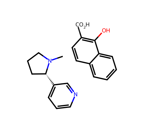 CN1CCC[C@H]1c1cccnc1.O=C(O)c1ccc2ccccc2c1O